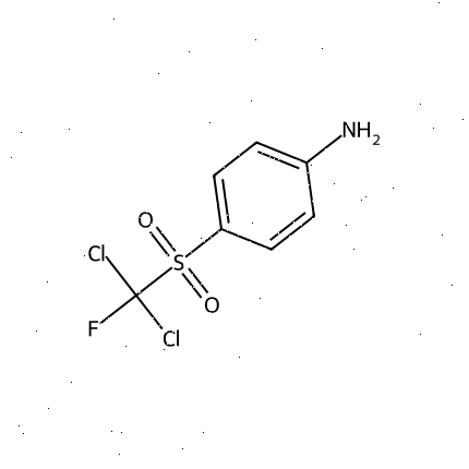 Nc1ccc(S(=O)(=O)C(F)(Cl)Cl)cc1